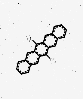 FC(F)(F)c1c2cc3ccccc3cc2c(C(F)(F)F)c2cc3ccccc3cc12